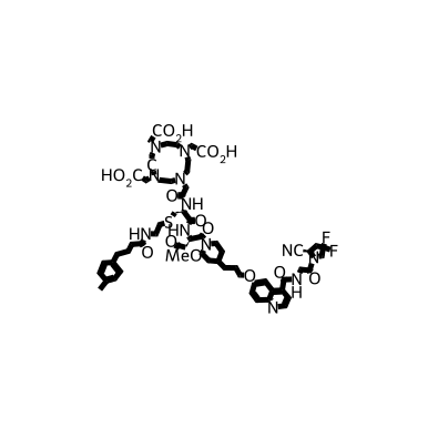 COC(=O)C[C@H](NC(=O)[C@H](CSCCNC(=O)CCCc1ccc(C)cc1)NC(=O)CN1CCN(CC(=O)O)CCN(CC(=O)O)CCN(CC(=O)O)CC1)C(=O)N1CCC(CCCOc2ccc3nccc(C(=O)NCC(=O)N4CC(F)(F)C[C@@H]4C#N)c3c2)CC1